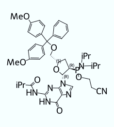 COc1ccc(C(OC[C@@H]2C[C@@H](P(OCCC#N)N(C(C)C)C(C)C)[C@H](n3cnc4c(=O)[nH]c(NC(=O)C(C)C)nc43)O2)(c2ccccc2)c2ccc(OC)cc2)cc1